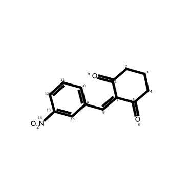 O=C1CCCC(=O)C1=Cc1cccc([N+](=O)[O-])c1